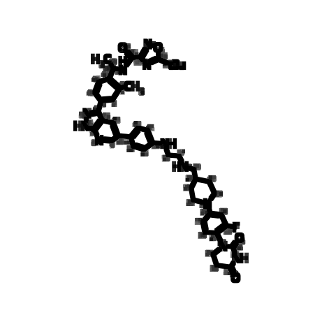 Cc1cc(-c2n[nH]c3ncc(-c4ccc(NCCNCC5CCN(c6ccc(N7CCC(=O)NC7=O)c(F)c6)CC5)cc4)cc23)ccc1[C@@H](C)NC(=O)c1noc(C(C)(C)C)n1